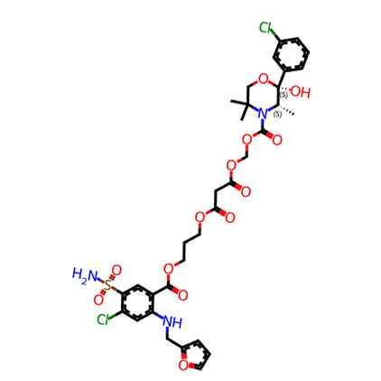 C[C@@H]1N(C(=O)OCOC(=O)CC(=O)OCCCOC(=O)c2cc(S(N)(=O)=O)c(Cl)cc2NCc2ccco2)C(C)(C)CO[C@@]1(O)c1cccc(Cl)c1